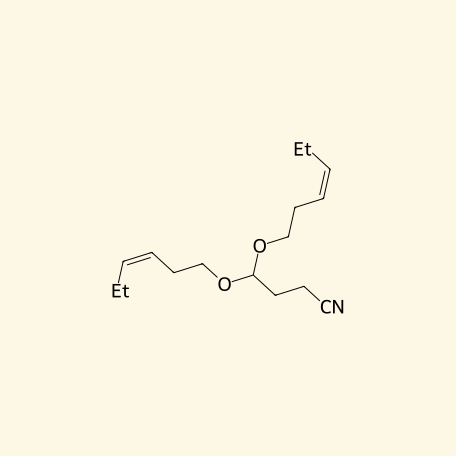 CC/C=C\CCOC(CCC#N)OCC/C=C\CC